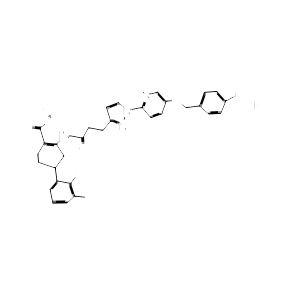 COC(=O)C1=C(NC(=O)CCc2ccn(-c3ccc(OCc4ccc(OC)cc4)cn3)n2)CC(c2cccc(F)c2F)CC1